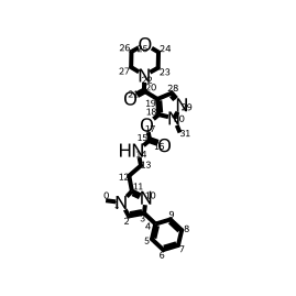 Cn1cc(-c2ccccc2)nc1CCNC(=O)Oc1c(C(=O)N2CCOCC2)cnn1C